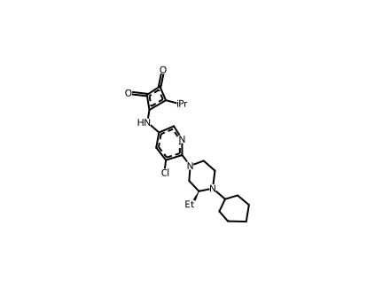 CC[C@H]1CN(c2ncc(Nc3c(C(C)C)c(=O)c3=O)cc2Cl)CCN1C1CCCCC1